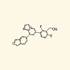 OCc1c(F)ccc(-c2cc(-c3ccc4cocc4c3)c3nccn3c2)c1F